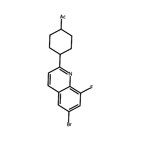 CC(=O)C1CCC(c2ccc3cc(Br)cc(F)c3n2)CC1